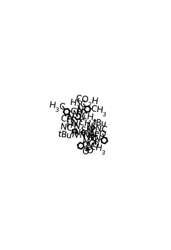 [C-]#[N+]c1c(C(C)(C)C)nn(-c2nnc(-n3nc(C(C)(C)C)c(C#N)c3N=Nc3c(C)cc(N(CCCC(=O)O)c4c(C)cc(C)cc4C)nc3Nc3c(C)cc(C)cc3C)s2)c1N=NC(C(=O)Nc1ccccc1OC)C1=Nc2ccccc2S(=O)(=O)N1C